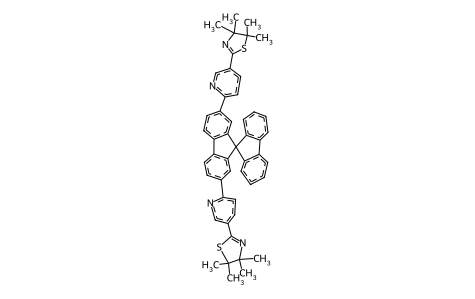 CC1(C)N=C(c2ccc(-c3ccc4c(c3)C3(c5ccccc5-c5ccccc53)c3cc(-c5ccc(C6=NC(C)(C)C(C)(C)S6)cn5)ccc3-4)nc2)SC1(C)C